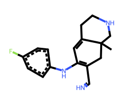 CC12CNCCC1=CC(Nc1ccc(F)cc1)=C(C=N)C2